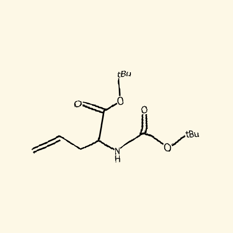 C=CCC(NC(=O)OC(C)(C)C)C(=O)OC(C)(C)C